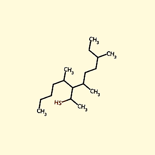 CCCCC(C)C(C(C)S)C(C)CCC(C)CC